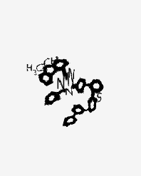 CC1(C)c2ccccc2-c2c(-c3nc(-c4ccccc4)nc(-c4ccc(-c5cccc6sc7ccc(-c8cccc(-c9ccccc9)c8)cc7c56)cc4)n3)cccc21